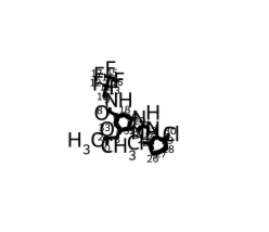 CC1(C)Cc2c(c(C(=O)NCC(F)(F)C(F)(F)F)cc3nc(Nc4c(Cl)cccc4Cl)[nH]c23)O1